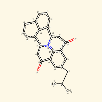 CC(C)Cc1cc2c(=O)cc3c4cccc5cccc(c54)c4cc(=O)c(c1)c2n34